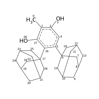 Cc1c(O)cc(C23CC4CC(CC(C4)C2)C3)c(C23CC4CC(CC(C4)C2)C3)c1O